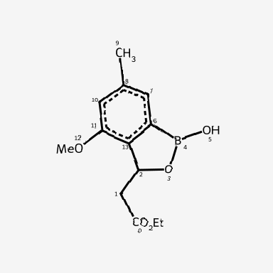 CCOC(=O)CC1OB(O)c2cc(C)cc(OC)c21